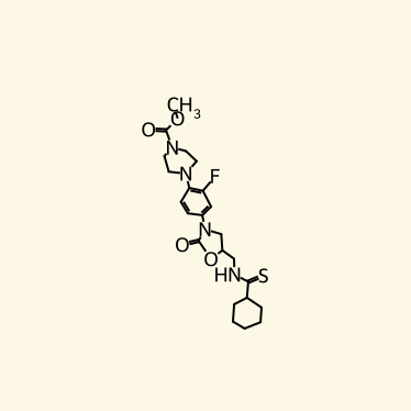 COC(=O)N1CCN(c2ccc(N3CC(CNC(=S)C4CCCCC4)OC3=O)cc2F)CC1